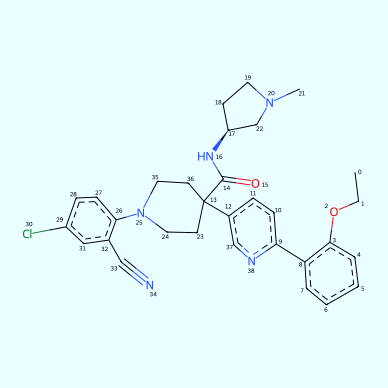 CCOc1ccccc1-c1ccc(C2(C(=O)N[C@H]3CCN(C)C3)CCN(c3ccc(Cl)cc3C#N)CC2)cn1